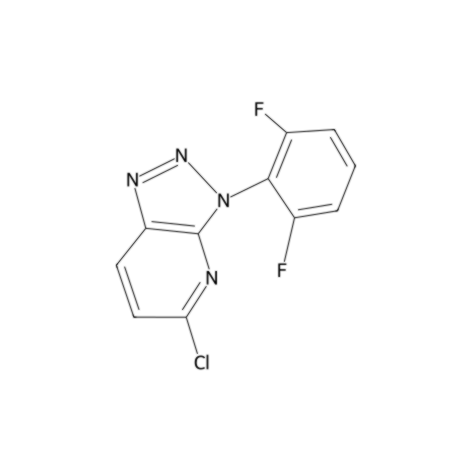 Fc1cccc(F)c1-n1nnc2ccc(Cl)nc21